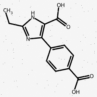 CCc1nc(-c2ccc(C(=O)O)cc2)c(C(=O)O)[nH]1